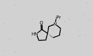 CC(C)N1CCC[C@@]2(CCNC2=O)C1